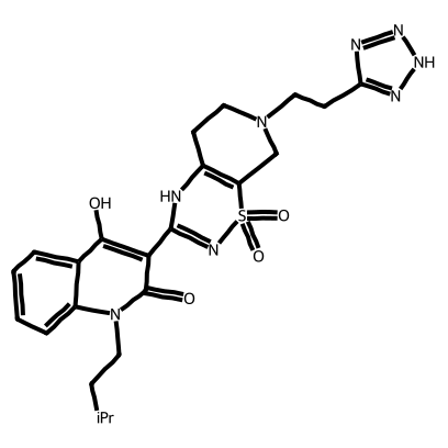 CC(C)CCn1c(=O)c(C2=NS(=O)(=O)C3=C(CCN(CCc4nn[nH]n4)C3)N2)c(O)c2ccccc21